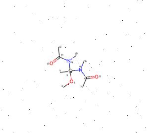 CO[Si](C)(N(C)C(C)=O)N(C)C(C)=O